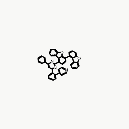 c1ccc(-c2cc(-c3ccccc3-c3ccncc3)nc(-c3ccc(-c4cccc5oc6ccccc6c45)c4oc5ccccc5c34)n2)cc1